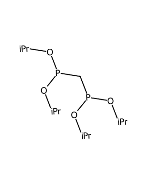 CC(C)OP(CP(OC(C)C)OC(C)C)OC(C)C